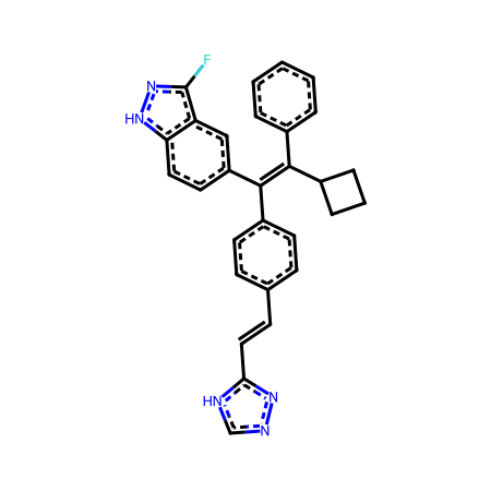 Fc1n[nH]c2ccc(C(=C(c3ccccc3)C3CCC3)c3ccc(C=Cc4nnc[nH]4)cc3)cc12